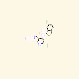 NC(=O)c1cnc(Cl)cc1NC1CCc2ccc(F)cc21